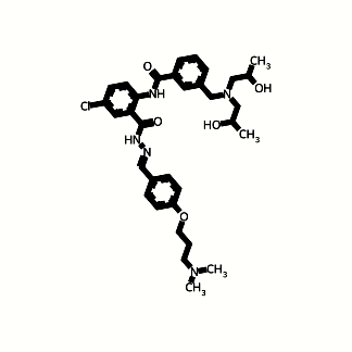 CC(O)CN(Cc1cccc(C(=O)Nc2ccc(Cl)cc2C(=O)NN=Cc2ccc(OCCCN(C)C)cc2)c1)CC(C)O